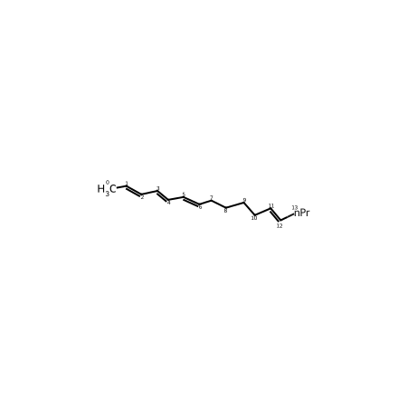 C/C=C/C=C/C=C/CCCC/C=C/CCC